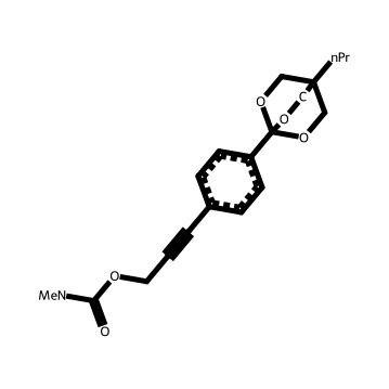 CCCC12COC(c3ccc(C#CCOC(=O)NC)cc3)(OC1)OC2